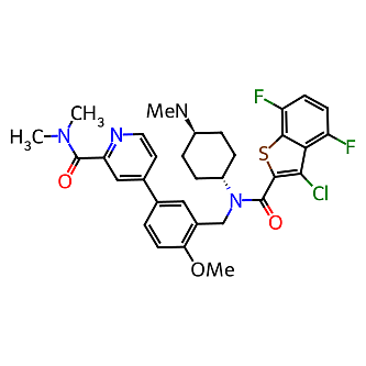 CN[C@H]1CC[C@H](N(Cc2cc(-c3ccnc(C(=O)N(C)C)c3)ccc2OC)C(=O)c2sc3c(F)ccc(F)c3c2Cl)CC1